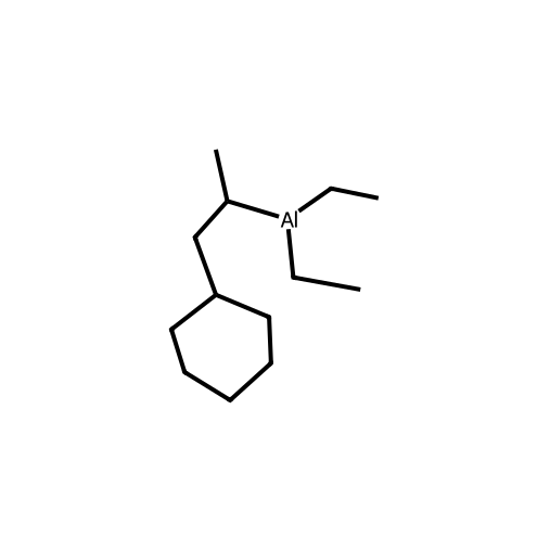 C[CH2][Al]([CH2]C)[CH](C)CC1CCCCC1